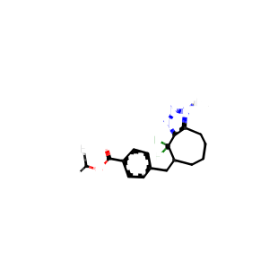 CCC(CC)OC(=O)c1ccc(CC2CCCCc3c(nnn3C(C)CC)C2(F)F)cc1